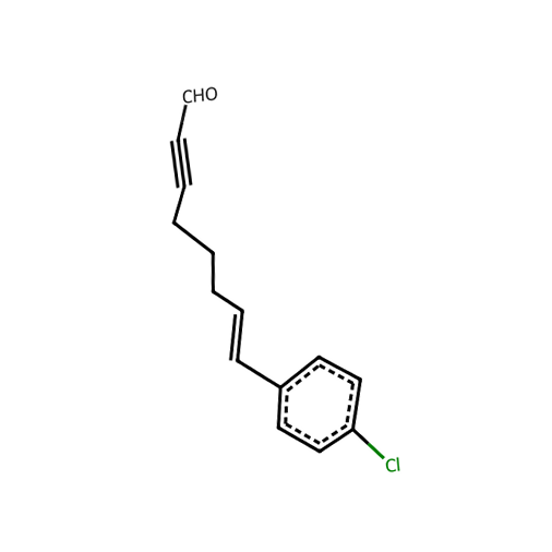 O=CC#CCCCC=Cc1ccc(Cl)cc1